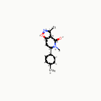 CCc1noc2cc(-c3ccc(OC)cc3)n(C)c(=O)c12